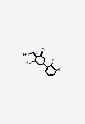 O=C1CC(c2cccc(F)c2F)CC(O)/C1=C\O